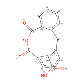 O=C1OC(=O)c2cccc(c2C(=O)O)Cc2ccccc21